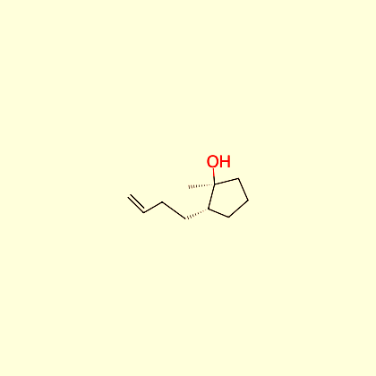 C=CCC[C@H]1CCC[C@]1(C)O